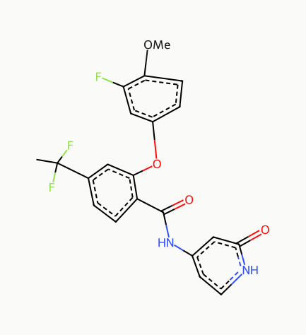 COc1ccc(Oc2cc(C(C)(F)F)ccc2C(=O)Nc2cc[nH]c(=O)c2)cc1F